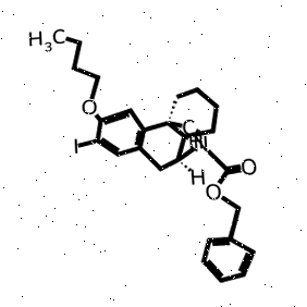 CCCCOc1cc2c(cc1I)C[C@H]1[C@H]3CCCC[C@@]23CCN1C(=O)OCc1ccccc1